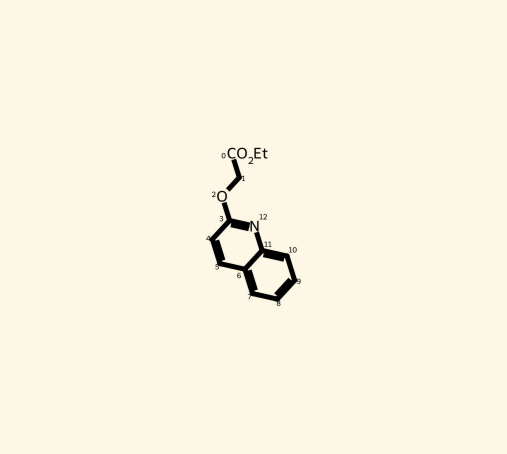 CCOC(=O)COc1ccc2ccccc2n1